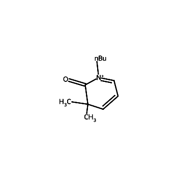 CCCC[N+]1=CC=CC(C)(C)C1=O